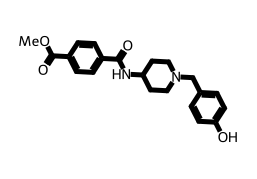 COC(=O)c1ccc(C(=O)NC2CCN(Cc3ccc(O)cc3)CC2)cc1